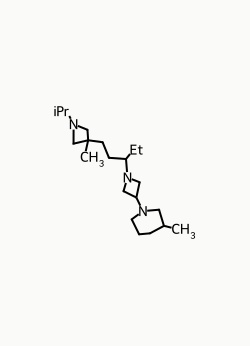 CCC(CCC1(C)CN(C(C)C)C1)N1CC(N2CCCC(C)C2)C1